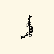 O=C(OCCCC1CC1)c1ccc2ccc(C(=O)OCCCC3CC3)cc2c1